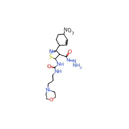 NN=NC(=O)C1C(C2C=CC([N+](=O)[O-])CC2)=NSC1NC(=O)NCCCN1CCOCC1